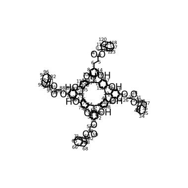 CC1(OC(=O)CCc2ccc(C3c4cc(c(O)cc4O)C(c4ccc(OCC(=O)OC5(C)C6CC7CC(C6)CC5C7)cc4)c4cc(c(O)cc4O)C(c4ccc(OCC(=O)OC5(C)C6CC7CC(C6)CC5C7)cc4)c4cc(c(O)cc4O)C(c4ccc(OCC(=O)OC5(C)C6CC7CC(C6)CC5C7)cc4)c4cc3c(O)cc4O)cc2)C2CC3CC(C2)CC1C3